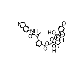 CC1C(C(=O)Nc2ccc3cnccc3c2)C1c1cccc(C(=O)OCC(=O)[C@@]2(O)[C@H](C)C[C@H]3[C@@H]4CCC5=CC(=O)C=C[C@]5(C)[C@@]4(F)[C@@H](O)C[C@@]32C)c1